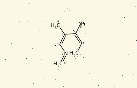 C=N/C=C(C)\C(=C/C)C(C)C